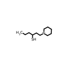 CCCC(S)CCN1CCCCC1